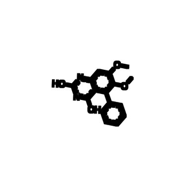 COc1cc2nc(O)nc(O)c2c(-c2ccccc2)c1OC